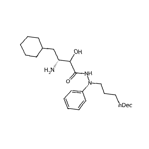 CCCCCCCCCCCCCN(NC(=O)C(O)[C@H](N)CC1CCCCC1)c1ccccc1